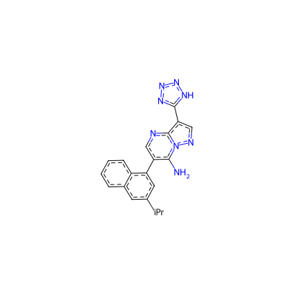 CC(C)c1cc(-c2cnc3c(-c4nnn[nH]4)cnn3c2N)c2ccccc2c1